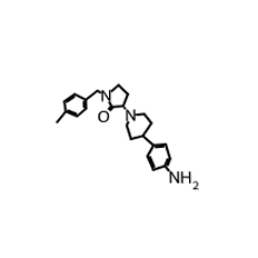 Cc1ccc(CN2CC[C@@H](N3CCC(c4ccc(N)cc4)CC3)C2=O)cc1